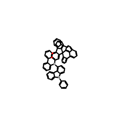 c1ccc(-c2ccccc2N(c2ccc3c(c2)C2(c4ccccc4-3)c3ccccc3-c3cccc4ccc(-c5ccccc5)c2c34)c2cccc3c2c2ccccc2n3-c2ccccc2)cc1